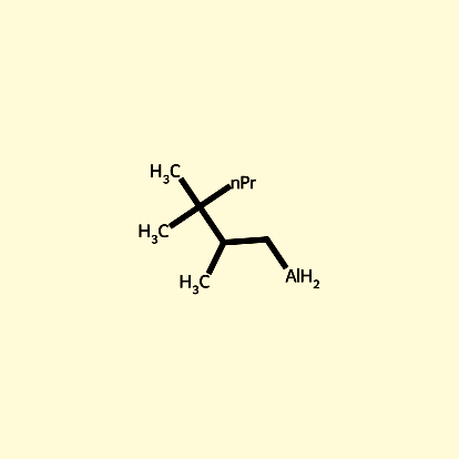 CCCC(C)(C)C(C)[CH2][AlH2]